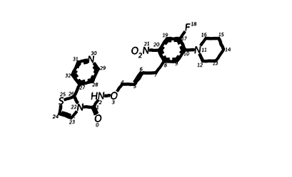 O=C(NOCC=CCc1cc(N2CCCCC2)c(F)cc1[N+](=O)[O-])N1[C]=CSC1c1ccncc1